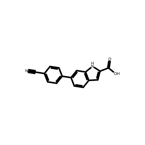 N#Cc1ccc(-c2ccc3cc(C(=O)O)[nH]c3c2)cc1